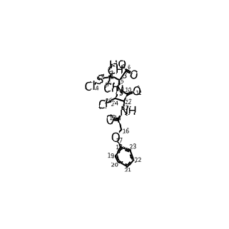 CC(C)(SCl)C(C(=O)O)N1C(=O)C(NC(=O)COc2ccccc2)C1Cl